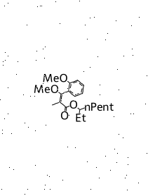 CCCCCC(CC)OC(=O)C(C)=C(OC)c1ccccc1OC